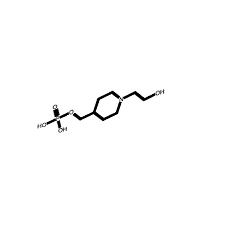 O=P(O)(O)OCC1CCN(CCO)CC1